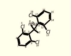 CCCCC(C)(c1c(Cl)cccc1Cl)c1c(Cl)cccc1Cl